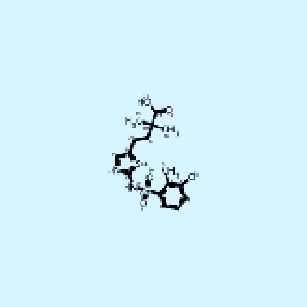 Cc1c(Cl)cccc1S(=O)(=O)Nc1ncc(CCC(C)(C)C(=O)O)s1